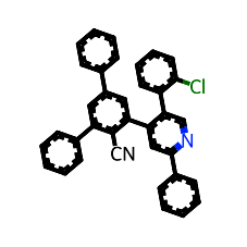 N#Cc1c(-c2ccccc2)cc(-c2ccccc2)cc1-c1cc(-c2ccccc2)ncc1-c1ccccc1Cl